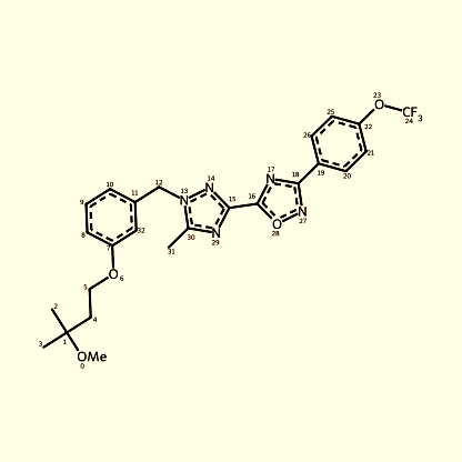 COC(C)(C)CCOc1cccc(Cn2nc(-c3nc(-c4ccc(OC(F)(F)F)cc4)no3)nc2C)c1